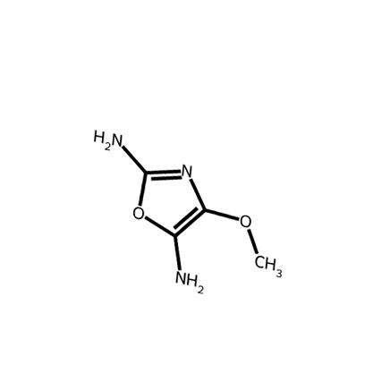 COc1nc(N)oc1N